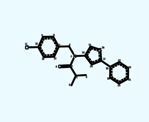 CC(C)C(=O)N(Cc1ccc(Cl)cc1)c1csc(-c2ccccc2)c1